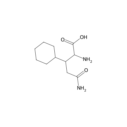 NC(=O)CC(C1CCCCC1)C(N)C(=O)O